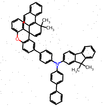 CC1(C)c2ccccc2-c2ccc(N(c3ccc(-c4ccccc4)cc3)c3ccc(-c4ccc5c(c4)C4(c6ccccc6O5)c5ccccc5C(C)(C)c5c4ccc4ccccc54)cc3)cc21